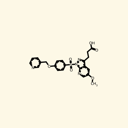 COc1cnc2c(c1)c(CCC(=O)O)nn2S(=O)(=O)c1ccc(OCc2cccnc2)cc1